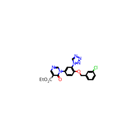 CCOC(=O)c1cncn(-c2ccc(OCc3cccc(Cl)c3)c(-n3cnnn3)c2)c1=O